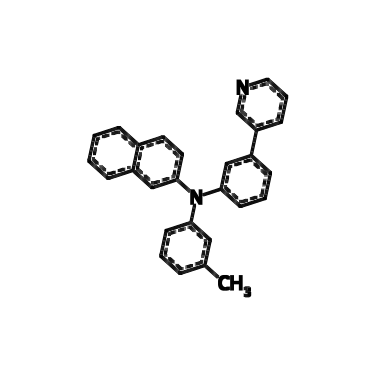 Cc1cccc(N(c2cccc(-c3cccnc3)c2)c2ccc3ccccc3c2)c1